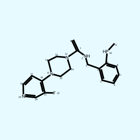 C=C(NCc1ccccc1PC)N1CCN(c2ccncc2F)CC1